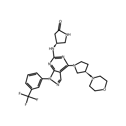 O=C1C[C@H](Nc2nc(N3CC[C@@H](N4CCOCC4)C3)c3cnn(-c4cccc(C(F)(F)F)c4)c3n2)CN1